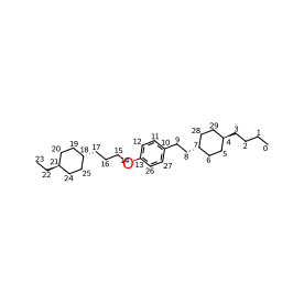 CCCC[C@H]1CC[C@H](CCc2ccc(OCCC[C@H]3CC[C@H](CC)CC3)cc2)CC1